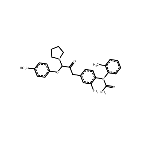 Cc1ccccc1N(C(N)=O)c1ccc(CC(=O)C(Oc2ccc(C(=O)O)cc2)N2CCCC2)cc1C